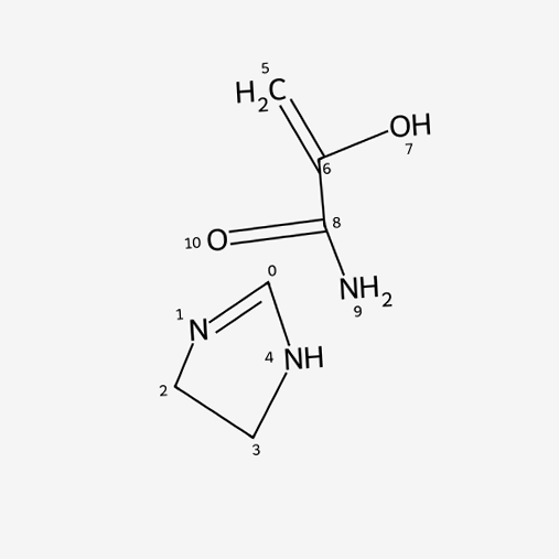 C1=NCCN1.C=C(O)C(N)=O